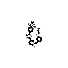 COCCOc1cccc(Cn2cc(-c3noc(-c4ccc(S(=O)(=O)C(F)F)cc4)n3)ccc2=O)c1